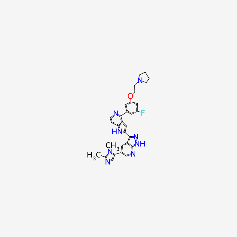 Cc1ncc(-c2cnc3[nH]nc(-c4cc5c(-c6cc(F)cc(OCCN7CCCC7)c6)nccc5[nH]4)c3c2)n1C